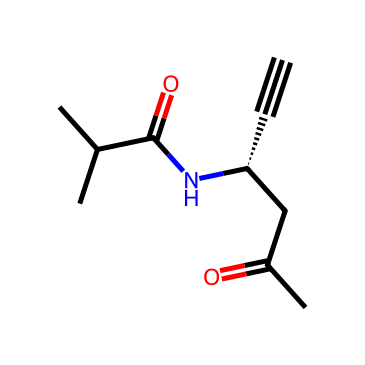 C#C[C@H](CC(C)=O)NC(=O)C(C)C